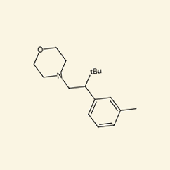 Cc1cccc(C(CN2CCOCC2)C(C)(C)C)c1